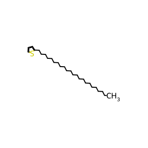 CCCCCCCCCCCCCCCCCCCCCCCc1cccs1